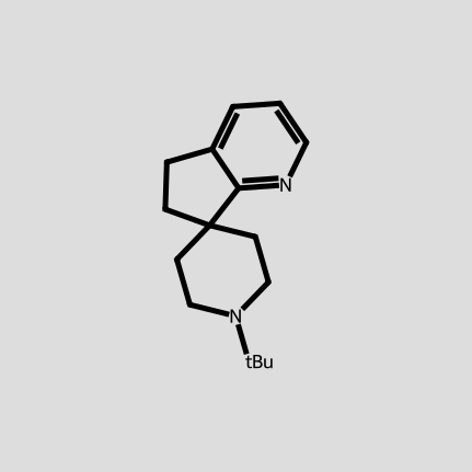 CC(C)(C)N1CCC2(CCc3cccnc32)CC1